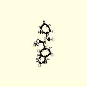 O=C(Nc1ccccn1)c1ccc2ncsc2c1.[Fe]